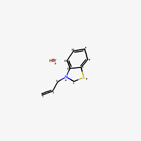 Br.C=CCN1CSc2ccccc21